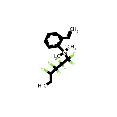 C=Cc1ccccc1[Si](C)(C)C(F)(F)C(F)(F)C(F)(F)C(F)CC